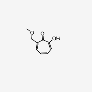 COCc1ccccc(O)c1=O